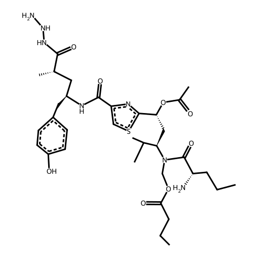 CCCC(=O)OCN(C(=O)[C@@H](N)CCC)[C@H](C[C@@H](OC(C)=O)c1nc(C(=O)N[C@@H](Cc2ccc(O)cc2)C[C@H](C)C(=O)NNN)cs1)C(C)C